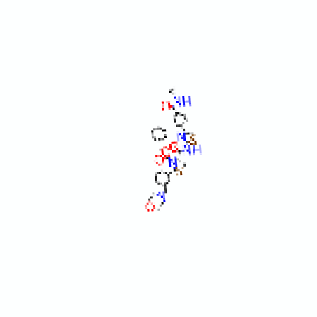 O=C(NC1CC1)c1ccc(-c2csc(NC(=O)C3CSC(c4cccc(CN5CCOCC5)c4)N3C(=O)OCc3ccccc3)n2)cc1